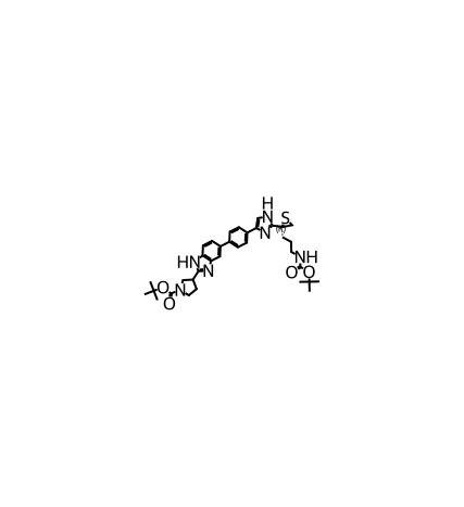 CC(C)(C)OC(=O)NCCC[C@@]1(c2nc(-c3ccc(-c4ccc5[nH]c(C6CCN(C(=O)OC(C)(C)C)C6)nc5c4)cc3)c[nH]2)CS1